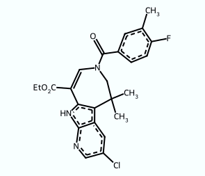 CCOC(=O)C1=CN(C(=O)c2ccc(F)c(C)c2)CC(C)(C)c2c1[nH]c1ncc(Cl)cc21